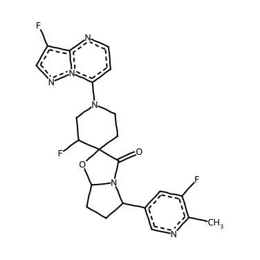 Cc1ncc(C2CCC3OC4(CCN(c5ccnc6c(F)cnn56)CC4F)C(=O)N32)cc1F